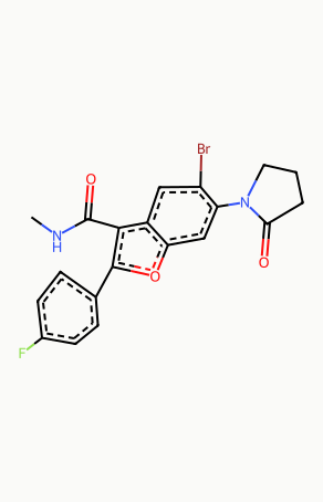 CNC(=O)c1c(-c2ccc(F)cc2)oc2cc(N3CCCC3=O)c(Br)cc12